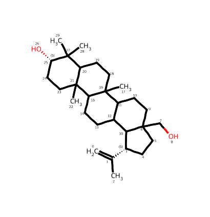 C=C(C)[C@H]1CCC2(CO)CCC3C(CCC4C3(C)CCC3C4(C)CC[C@H](O)C3(C)C)C12